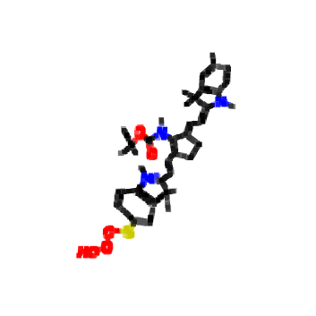 Cc1ccc2c(c1)C(C)(C)/C(=C\C=C1/CCC(/C=C/C3=[N+](C)c4ccc(SOOO)cc4C3(C)C)=C1N(C)C(=O)OC(C)(C)C)N2C